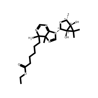 CCOC(=O)CCCCCC1(N)N=CN=C2N([C@@H]3O[C@H](C)[C@]4(S)C(C)(C)[C@]34O)C=NC21C